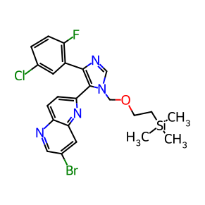 C[Si](C)(C)CCOCn1cnc(-c2cc(Cl)ccc2F)c1-c1ccc2ncc(Br)cc2n1